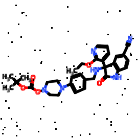 CCOc1ncccc1C1(NCc2ccc(N3CCN(OC(=O)OC(C)(C)C)CC3)cc2)C(=O)Nc2ccc(C#N)cc21